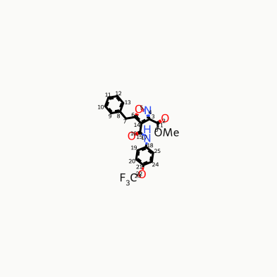 COC(=O)c1noc(Cc2ccccc2)c1C(=O)Nc1ccc(OC(F)(F)F)cc1